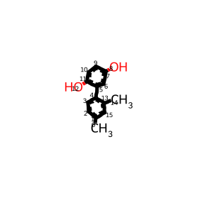 Cc1ccc(-c2cc(O)ccc2O)c(C)c1